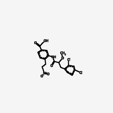 COC(Cc1ccc(Cl)cc1Cl)C(=O)Nc1cc(C(=O)O)ccc1CC[N+](=O)[O-]